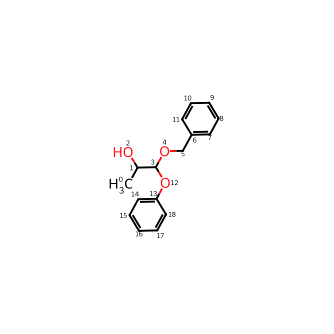 CC(O)C(OCc1ccccc1)Oc1ccccc1